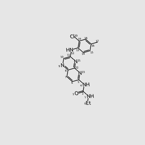 CCNC(=O)Nc1ccc2ncc(Nc3ccc(C)cc3Cl)nc2n1